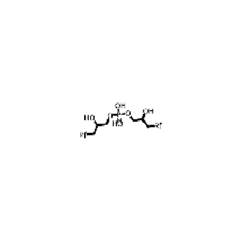 OC([CH2][Rf])CO[PH](O)(O)OCC(O)[CH2][Rf]